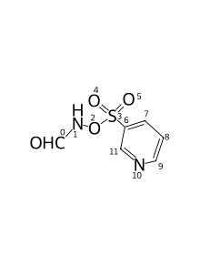 O=CNOS(=O)(=O)c1cccnc1